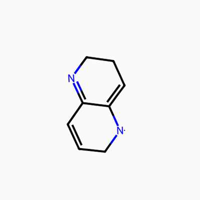 C1=CC2=NCCC=C2[N]C1